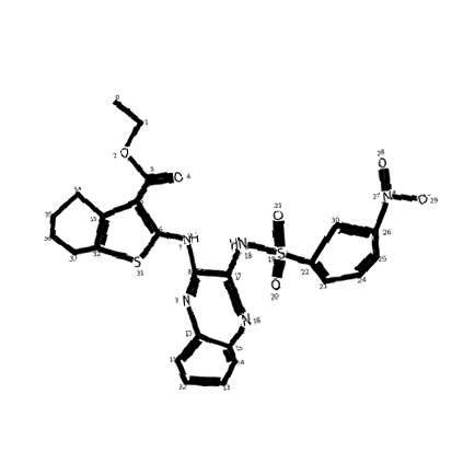 CCOC(=O)c1c(Nc2nc3ccccc3nc2NS(=O)(=O)c2cccc([N+](=O)[O-])c2)sc2c1CCCC2